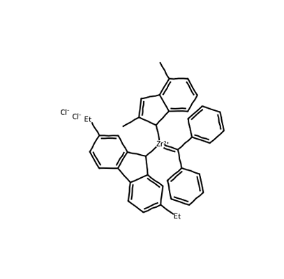 CCc1ccc2c(c1)[CH]([Zr+2](=[C](c1ccccc1)c1ccccc1)[CH]1C(C)=Cc3c(C)cccc31)c1cc(CC)ccc1-2.[Cl-].[Cl-]